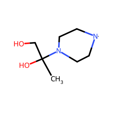 CC(O)(CO)N1CC[N]CC1